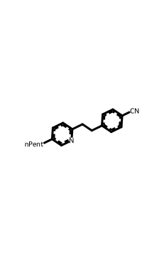 CCCCCc1ccc(CCc2ccc(C#N)cc2)nc1